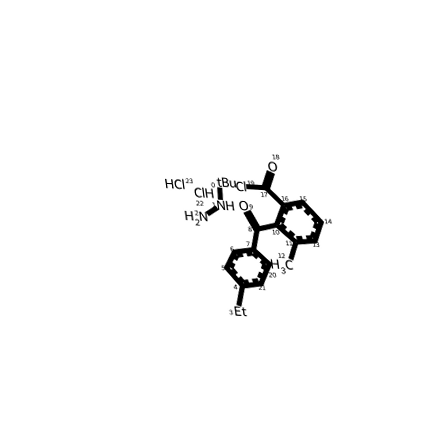 CC(C)(C)NN.CCc1ccc(C(=O)c2c(C)cccc2C(=O)Cl)cc1.Cl.Cl